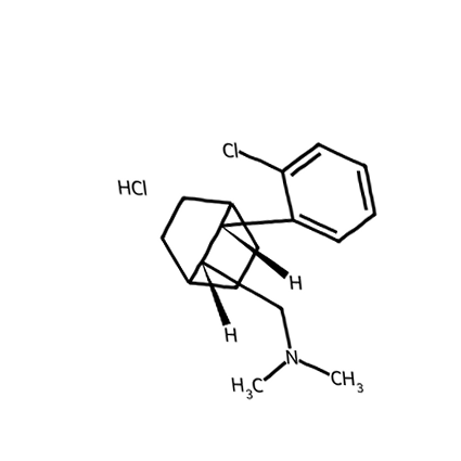 CN(C)C[C@@H]1C2CCC(CC2)[C@@H]1c1ccccc1Cl.Cl